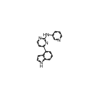 c1cncc(Nc2nccc(-c3cccc4[nH]ccc34)n2)c1